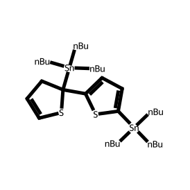 CCC[CH2][Sn]([CH2]CCC)([CH2]CCC)[c]1ccc([C]2([Sn]([CH2]CCC)([CH2]CCC)[CH2]CCC)CC=CS2)s1